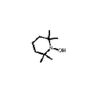 CC1(C)C[CH]CC(C)(C)N1O